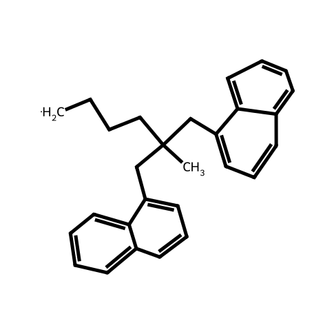 [CH2]CCCC(C)(Cc1cccc2ccccc12)Cc1cccc2ccccc12